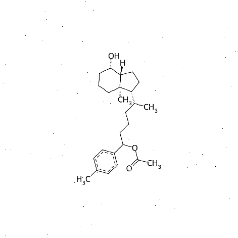 CC(=O)OC(CCCC(C)[C@H]1CC[C@H]2[C@@H](O)CCC[C@]12C)c1ccc(C)cc1